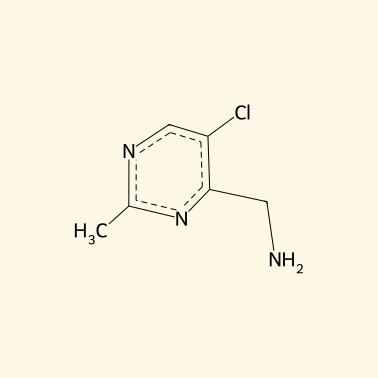 Cc1ncc(Cl)c(CN)n1